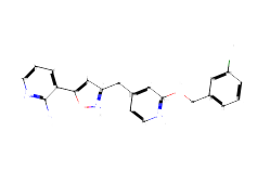 Nc1ncccc1-c1cc(Cc2ccnc(OCc3cccc(F)c3)c2)no1